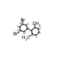 Cc1cccc(C)c1-c1cc(Br)cc(Br)c1